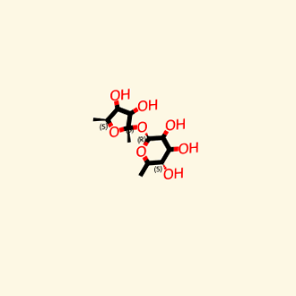 CC1O[C@H](O[C@]2(C)O[C@@H](C)C(O)C2O)C(O)C(O)[C@@H]1O